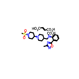 Cc1noc(-c2ccccc2N(CC2CCN(C3CCN(S(C)(=O)=O)CC3)CC2)C(=O)O)n1.O=C(O)C=CC(=O)O